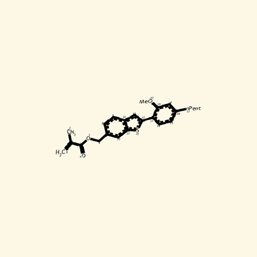 C=C(C)C(=O)OCc1ccc2cc(-c3ccc(CCCCC)cc3OC)sc2c1